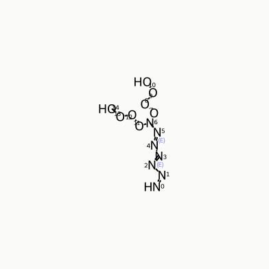 N=N/N=N/N=N/N(OOOO)OOOO